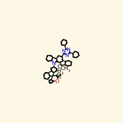 CC1(C)c2ccccc2-c2c(-c3nc(-c4ccccc4)nc(-c4ccccc4)n3)cc3c4ccccc4n(-c4ccc5c(c4)-c4ccccc4C54c5ccccc5Oc5ccccc54)c3c21